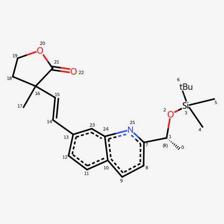 C[C@@H](O[Si](C)(C)C(C)(C)C)c1ccc2ccc(C=CC3(C)CCOC3=O)cc2n1